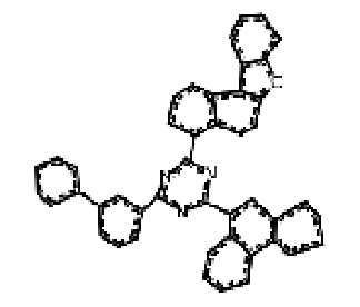 c1ccc(-c2cccc(-c3nc(-c4cc5ccccc5c5ccccc45)nc(-c4cccc5c4ccc4oc6ccccc6c45)n3)c2)cc1